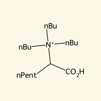 CCCCCC(C(=O)O)[N+](CCCC)(CCCC)CCCC